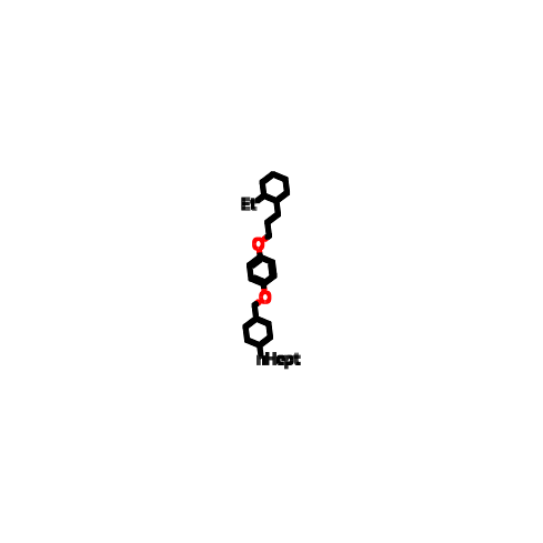 CCCCCCCC1CCC(COc2ccc(OCCCC3CCCCC3CC)cc2)CC1